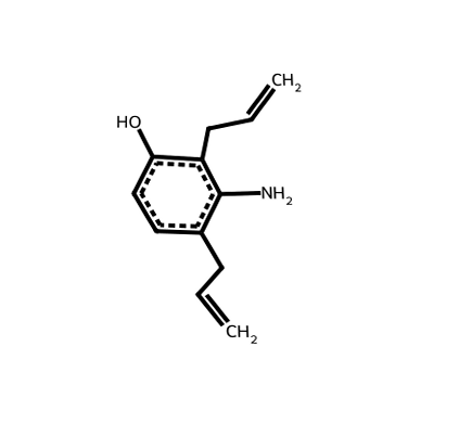 C=CCc1ccc(O)c(CC=C)c1N